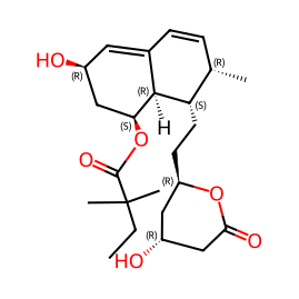 CCC(C)(C)C(=O)O[C@H]1C[C@@H](O)C=C2C=C[C@H](C)[C@H](CC[C@@H]3C[C@@H](O)CC(=O)O3)[C@H]21